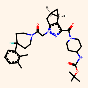 Cc1cccc(C2(F)CCN(C(=O)Cn3nc(C(=O)N4CCC(NC(=O)OC(C)(C)C)CC4)c4c3C[C@H]3C[C@@H]43)CC2)c1C